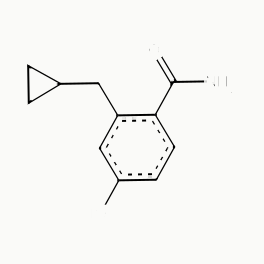 NC(=O)c1ccc(O)cc1CC1CC1